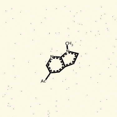 CC(=O)c1cnc2c(ccn2C)c1